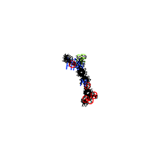 COCC1(C(=O)OC(C)(C)C)CCC(COc2ccc(-c3ccc(/C(=N/C(=N)C(F)(F)F)NCOCC[Si](C)(C)C)cc3)cn2)CC1